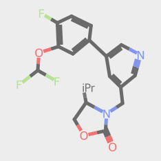 CC(C)C1COC(=O)N1Cc1cncc(-c2ccc(F)c(OC(F)F)c2)c1